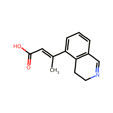 C/C(=C\C(=O)O)c1cccc2c1CCN=C2